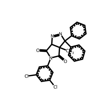 CC12C(=O)N(c3cc(Cl)cc(Cl)c3)C(=O)C1N=NC2(c1ccccc1)c1ccccc1